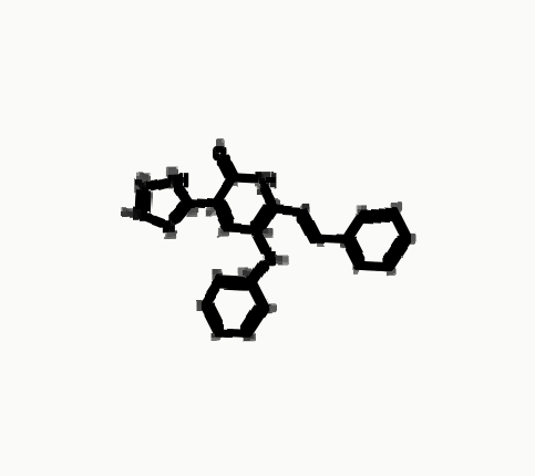 O=c1[nH]c(C=Cc2ccccc2)c(Sc2ccccc2)cc1-c1nnn[nH]1